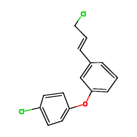 ClCC=Cc1cccc(Oc2ccc(Cl)cc2)c1